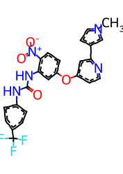 Cn1ccc(-c2cc(Oc3ccc([N+](=O)[O-])c(NC(=O)Nc4ccc(C(F)(F)F)cc4)c3)ccn2)c1